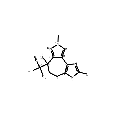 Cc1nc2c(s1)CCC(Cl)(C(F)(F)F)c1nn(C)cc1-2